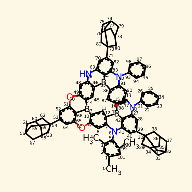 Cc1cc(C)c(N2c3cc4c(cc3B3c5ccccc5N(c5ccccc5)c5cc(C67CC8CC(CC(C8)C6)C7)cc2c53)B2c3cc5c(cc3Oc3cc(C67CC8CC(CC(C8)C6)C7)cc(c32)O4)Nc2cc(C34CC6CC(CC(C6)C3)C4)cc3c2B5c2ccccc2N3c2ccccc2)c(C)c1